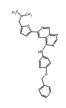 CN(C)Cc1ccc(-c2cc3c(Nc4ccc(OCc5ccccc5)cc4)ncnc3cn2)o1